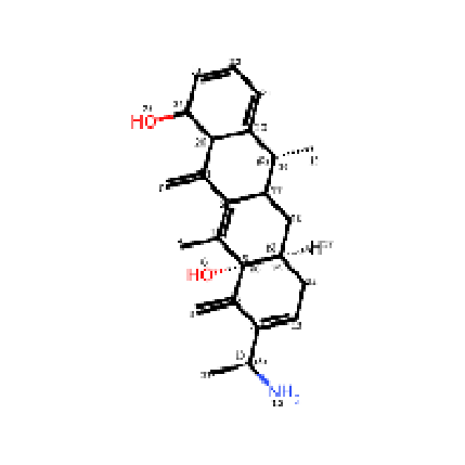 C=C1C2=C(C)[C@]3(O)C(=C)C([C@H](C)N)=CC[C@@H]3CC2[C@@H](C)C2=CC=CC(O)C12